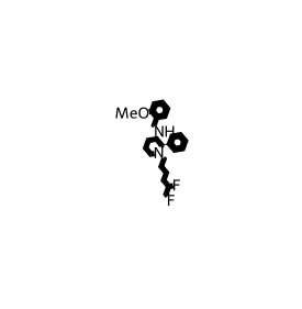 COc1ccccc1CN[C@H]1CCCN(CCCCC(F)CF)[C@H]1c1ccccc1